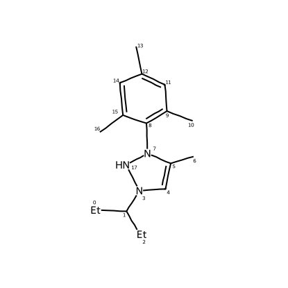 CCC(CC)N1C=C(C)N(c2c(C)cc(C)cc2C)N1